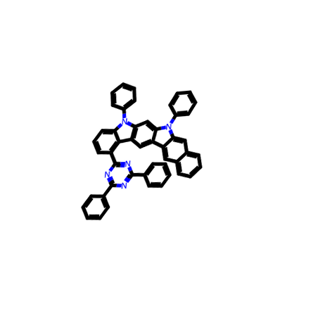 c1ccc(-c2nc(-c3ccccc3)nc(-c3cccc4c3c3cc5c6cc7ccccc7cc6n(-c6ccccc6)c5cc3n4-c3ccccc3)n2)cc1